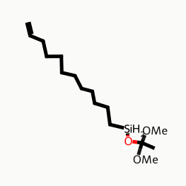 C=CCCCCCCCCCC[SiH2]OC(C)(OC)OC